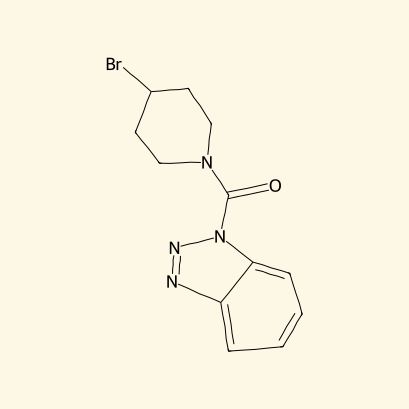 O=C(N1CCC(Br)CC1)n1nnc2ccccc21